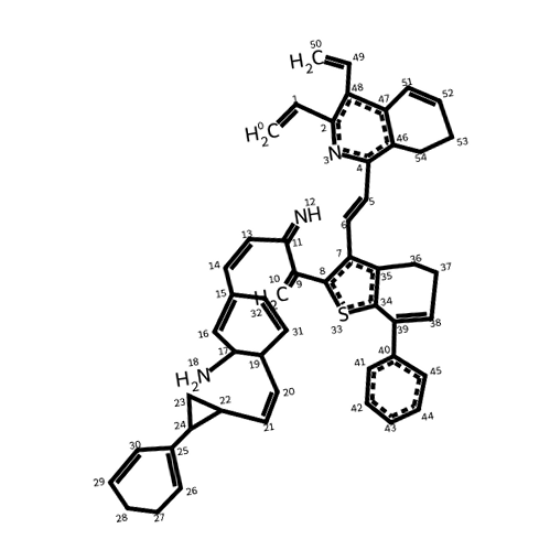 C=Cc1nc(/C=C/c2c(C(=C)C(=N)/C=C\C3=CC(N)C(/C=C\C4CC4C4=CCCC=C4)C=C3)sc3c2CCC=C3c2ccccc2)c2c(c1C=C)C=CCC2